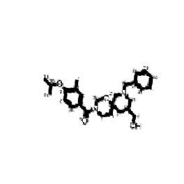 Cc1cc(C(=O)N2CCC3(CC(CO)CN(Cc4ccccc4)C3)OC2)ccc1OC(C)C